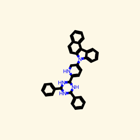 C1=C(C2NC(c3ccccc3)NC(c3ccccc3)N2)NCC(n2c3ccccc3c3c4ccccc4ccc32)=C1